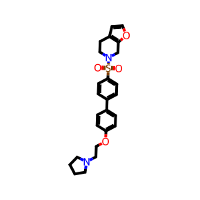 O=S(=O)(c1ccc(-c2ccc(OCCN3CCCC3)cc2)cc1)N1CCc2ccoc2C1